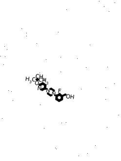 CC(C)(C)Oc1ccc(N2CCN(c3cccc(CO)c3F)CC2)cn1